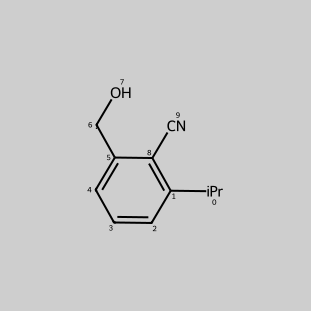 CC(C)c1cccc([CH]O)c1C#N